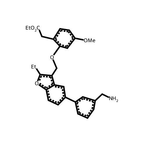 CCOC(=O)Cc1ccc(OC)cc1OCc1c(CC)oc2ccc(-c3cccc(CN)c3)cc12